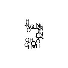 CNC(=O)OCc1c(-c2ccc(O[C@H]3C[C@H](C(=O)O)[C@@H]4C[C@@H]43)c(C)n2)nnn1C